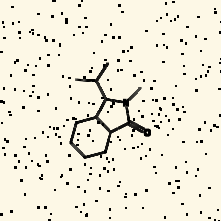 CC(C)C1C2CCCCC2C(=O)N1C